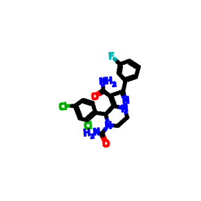 NC(=O)c1c(-c2cccc(F)c2)nn2c1C(c1ccc(Cl)cc1Cl)N(C(N)=O)CC2